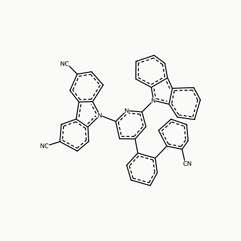 N#Cc1ccc2c(c1)c1cc(C#N)ccc1n2-c1cc(-c2ccccc2-c2ccccc2C#N)cc(-n2c3ccccc3c3ccccc32)n1